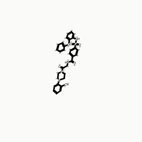 N#Cc1ccccc1N1CCN(C(=O)CNC(=O)c2ccc(S(=O)(=O)Nc3ccccc3Oc3ccccc3)cc2)CC1